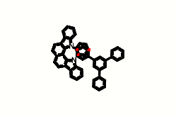 c1ccc(-c2cc(-c3ccccc3)cc(-c3ccc(-n4c5ccccc5c5ccc6ccc7c8ccccc8n(-c8ccccc8)c7c6c54)cc3)c2)cc1